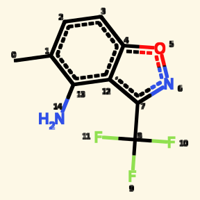 Cc1ccc2onc(C(F)(F)F)c2c1N